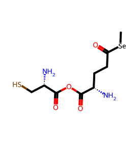 C[Se]C(=O)CC[C@H](N)C(=O)OC(=O)[C@@H](N)CS